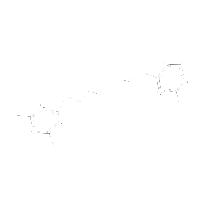 Clc1nc(Cl)nc(OCCOCCOc2nc(Cl)nc(Cl)n2)n1